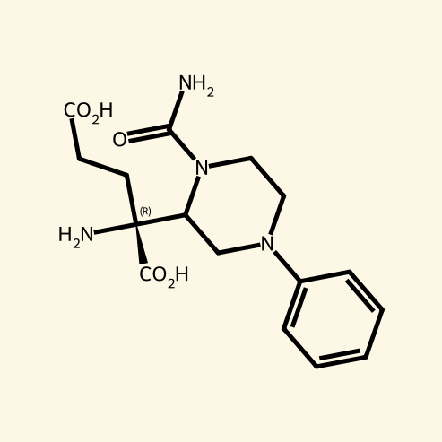 NC(=O)N1CCN(c2ccccc2)CC1[C@](N)(CCC(=O)O)C(=O)O